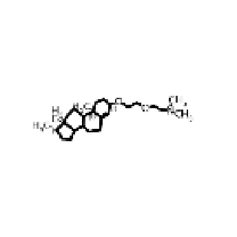 C[C@H]1CCC2C3CCC4=C[C@@H](OCCOCCN(C)C)CC[C@]4(C)C3CC[C@@]21C